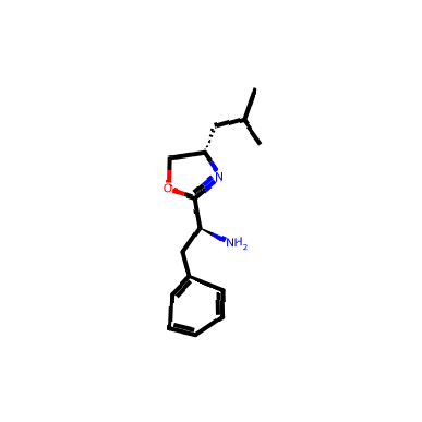 CC(C)C[C@H]1COC([C@@H](N)Cc2ccccc2)=N1